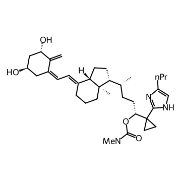 C=C1/C(=C\C=C2/CCC[C@]3(C)[C@@H]([C@H](C)CC[C@@H](OC(=O)NC)C4(c5nc(CCC)c[nH]5)CC4)CC[C@@H]23)C[C@@H](O)C[C@@H]1O